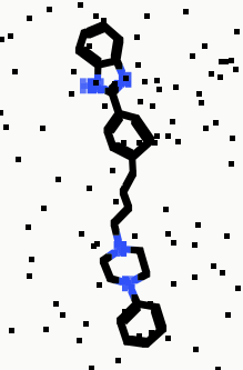 c1ccc(N2CCN(CCCCc3ccc(-c4nc5ccccc5[nH]4)cc3)CC2)cc1